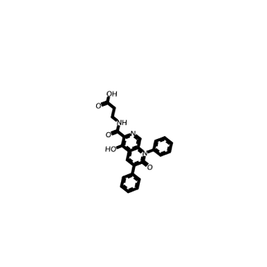 O=C(O)CCNC(=O)c1ncc2c(cc(-c3ccccc3)c(=O)n2-c2ccccc2)c1O